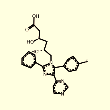 O=C(O)C[C@H](O)C[C@@H](O)Cn1c(-c2ccccc2)nc(-c2ccncn2)c1-c1ccc(F)cc1